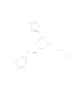 COCCOc1cc(C(=O)Nc2cnc(C(C)(C)C)nc2)cc(-n2ccnc2)c1